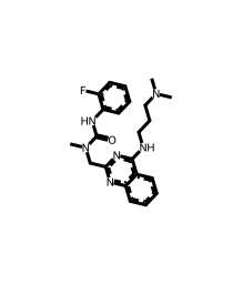 CN(C)CCCNc1nc(CN(C)C(=O)Nc2ccccc2F)nc2ccccc12